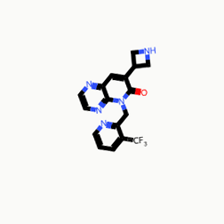 O=c1c(C2CNC2)cc2nccnc2n1Cc1ncccc1C(F)(F)F